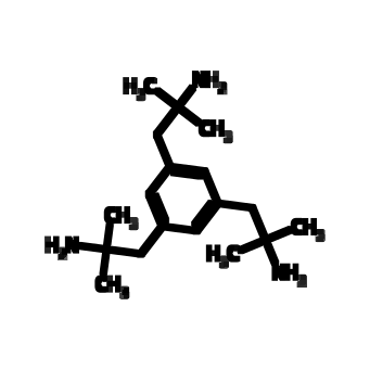 CC(C)(N)Cc1cc(CC(C)(C)N)cc(CC(C)(C)N)c1